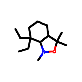 CCC1(CC)CCCC2C1N(C)OC2(C)C